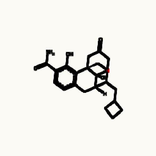 NC(=O)c1ccc2c(c1O)[C@]13CCC(CC4CCC4)[C@H](C2)[C@]1(O)CCC(=O)C3